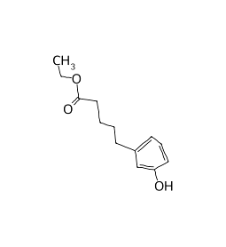 CCOC(=O)CCCCc1cccc(O)c1